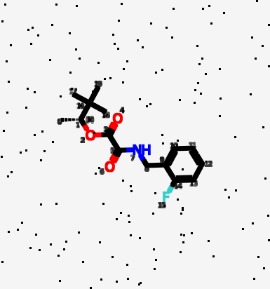 C[C@@H](OC(=O)C(=O)NCc1ccccc1F)C(C)(C)C